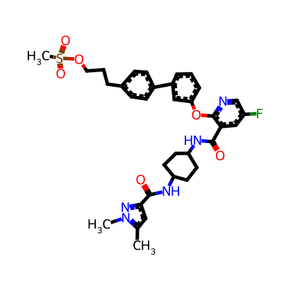 Cc1cc(C(=O)NC2CCC(NC(=O)c3cc(F)cnc3Oc3cccc(-c4ccc(CCCOS(C)(=O)=O)cc4)c3)CC2)nn1C